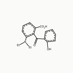 CCN(CC)c1cccc(C(=O)O)c1C(=O)c1ccccc1O